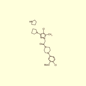 C1CCNC1.COc1cc(N2CCN(C(=O)Cn3nc(N4CCCC4)c(Cl)c3C)CC2)ccc1Cl